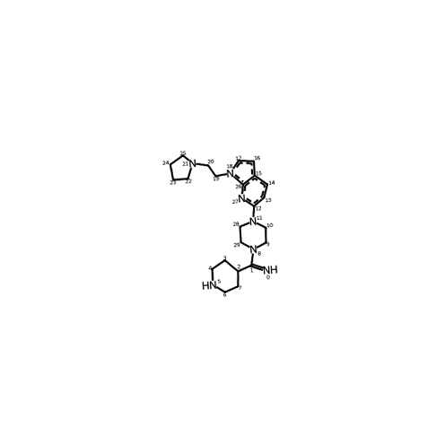 N=C(C1CCNCC1)N1CCN(c2ccc3ccn(CCN4CCCC4)c3n2)CC1